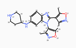 Cc1noc(C)c1-c1nc2ccc(NC3CCNCC3)cc2n1-c1c(C)noc1C